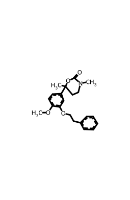 COc1ccc(C2(C)CCN(C)C(=O)O2)cc1OCCc1ccccc1